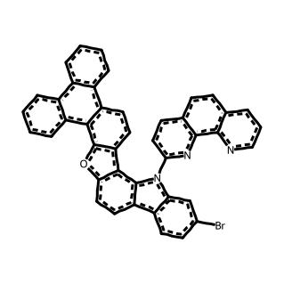 Brc1ccc2c3ccc4oc5c(ccc6c7ccccc7c7ccccc7c65)c4c3n(-c3ccc4ccc5cccnc5c4n3)c2c1